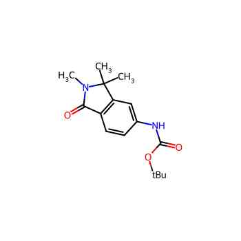 CN1C(=O)c2ccc(NC(=O)OC(C)(C)C)cc2C1(C)C